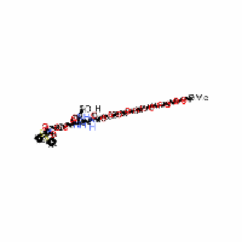 COCCOCCOCCOCCOCCOCCOCCOCCOCCOCCOCCOCCC(=O)NCCCC[C@H](NC(=O)CCOCCOCCN1C(=O)C(Sc2ccccc2)=C(Sc2ccccc2)C1=O)C(=O)NCCC(=O)O